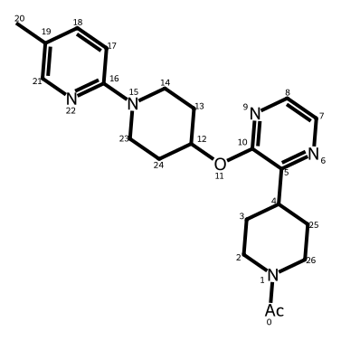 CC(=O)N1CCC(c2nccnc2OC2CCN(c3ccc(C)cn3)CC2)CC1